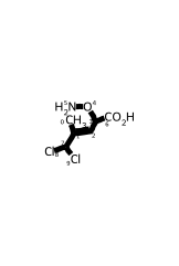 CC(=CC(ON)C(=O)O)C(Cl)Cl